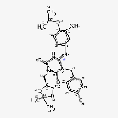 Cc1cc(/N=c2\[nH]c(=O)n(C[C@H]3COC(C)(C)O3)c(=O)n2Cc2ccc(Cl)cc2)ccc1OC(C)C